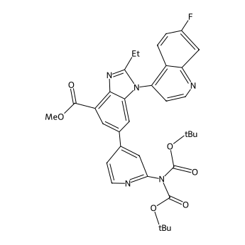 CCc1nc2c(C(=O)OC)cc(-c3ccnc(N(C(=O)OC(C)(C)C)C(=O)OC(C)(C)C)c3)cc2n1-c1ccnc2cc(F)ccc12